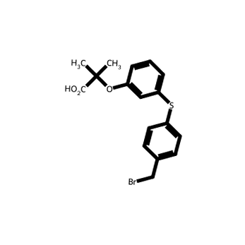 CC(C)(Oc1cccc(Sc2ccc(CBr)cc2)c1)C(=O)O